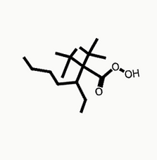 CCCCC(CC)C(C(=O)OO)(C(C)(C)C)C(C)(C)C